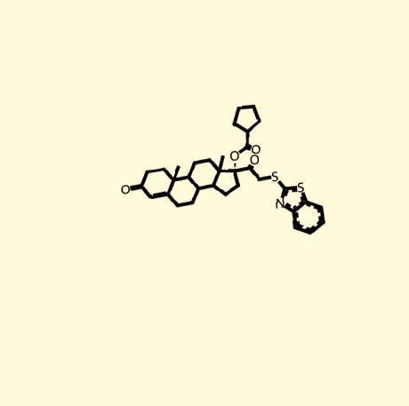 CC12CCC(=O)C=C1CCC1C2CCC2(C)C1CC[C@]2(OC(=O)C1CCCC1)C(=O)CSc1nc2ccccc2s1